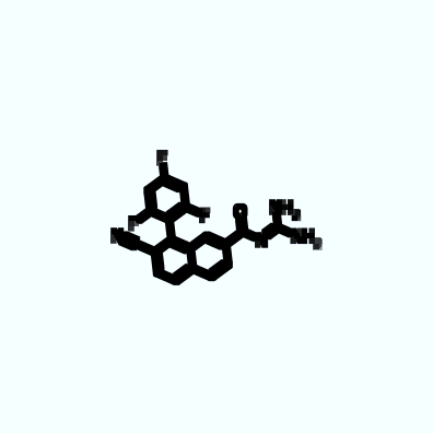 N#Cc1ccc2ccc(C(=O)N=C(N)N)cc2c1-c1c(F)cc(F)cc1F